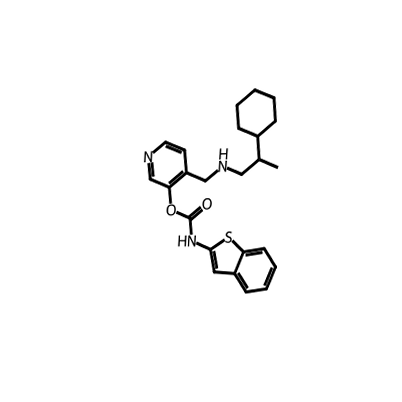 CC(CNCc1ccncc1OC(=O)Nc1cc2ccccc2s1)C1CCCCC1